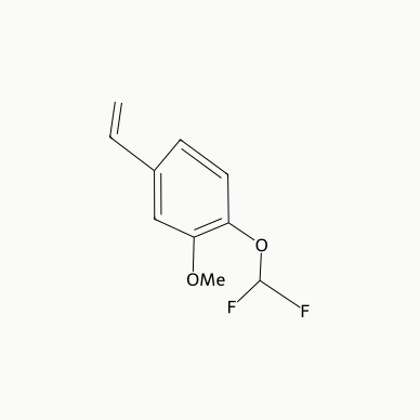 C=Cc1ccc(OC(F)F)c(OC)c1